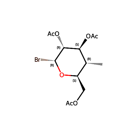 CC(=O)OC[C@H]1O[C@H](Br)[C@H](OC(C)=O)[C@@H](OC(C)=O)[C@@H]1C